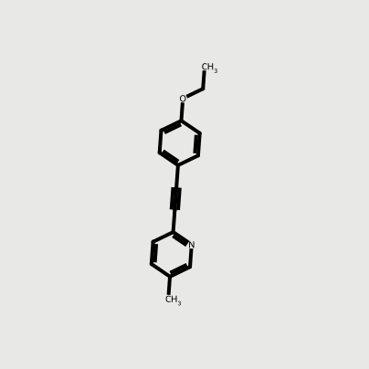 CCOc1ccc(C#Cc2ccc(C)cn2)cc1